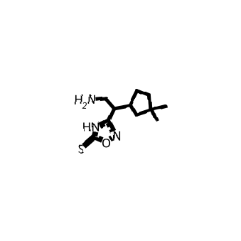 CC1(C)CCC(C(CN)c2noc(=S)[nH]2)C1